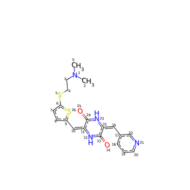 CN(C)CCSc1ccc(C=c2[nH]c(=O)c(=Cc3cccnc3)[nH]c2=O)s1